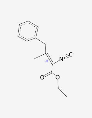 [C-]#[N+]/C(C(=O)OCC)=C(/C)Cc1ccccc1